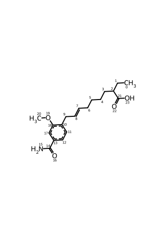 CCC(CCCCC=CCc1ccc(C(N)=O)cc1OC)C(=O)O